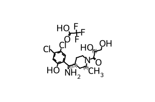 C[C@@H]1C[C@@H]([C@@H](N)c2cc(Cl)c(Cl)cc2O)CCN1C(=O)[C@H](O)CO.O=C(O)C(F)(F)F